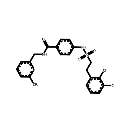 O=C(NCc1cccc(C(F)(F)F)n1)c1ccc(NS(=O)(=O)CCc2cccc(Cl)c2Cl)cc1